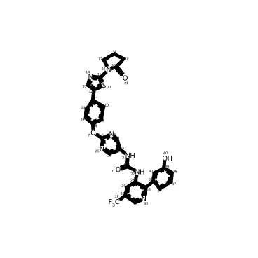 O=C(Nc1cnc(Oc2ccc(-c3cnc(N4CCCC4=O)s3)cc2)nc1)Nc1cc(C(F)(F)F)cnc1-c1cccc(O)c1